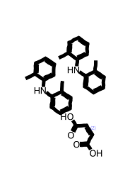 Cc1ccccc1Nc1ccccc1C.Cc1ccccc1Nc1ccccc1C.O=C(O)/C=C\C(=O)O